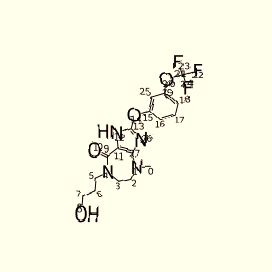 CN1CCN(CCCO)C(=O)c2[nH]c(Oc3cccc(OC(F)(F)F)c3)nc21